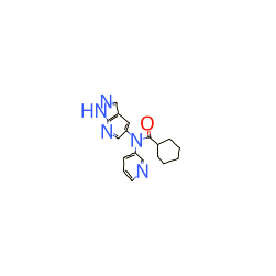 O=C(C1CCCCC1)N(c1cccnc1)c1cnc2[nH]ncc2c1